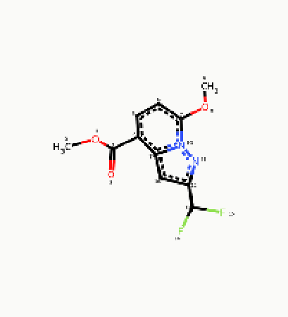 COC(=O)c1ccc(OC)n2nc(C(F)F)cc12